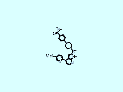 CNc1ccc(-c2ccnc3c2cc([C@H](C)N2CCC(c4ccc(C(=O)N(C)C)cc4)CC2)n3C)nc1